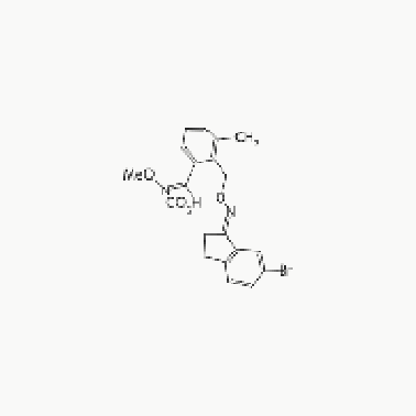 CO/N=C(/C(=O)O)c1cccc(C)c1CO/N=C1\CCc2ccc(Br)cc21